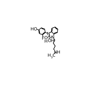 CNCCCCN1c2ccccc2N(c2ccc(O)cc2F)S1(O)O